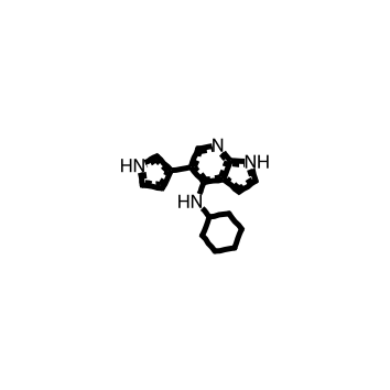 c1cc(-c2cnc3[nH]ccc3c2NC2CCCCC2)c[nH]1